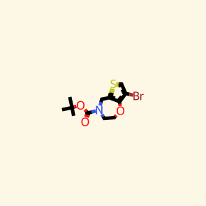 CC(C)(C)OC(=O)N1CCOc2c(Br)csc2C1